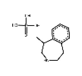 CC1CNCCc2ccccc21.O=P(O)(O)O